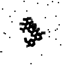 C=Cc1cc(-c2ccc(O)c3c2CC2CC4C(N(C)C)C(O)=C(C(N)=O)C(=O)C4(O)C(O)=C2C3=O)ccc1F